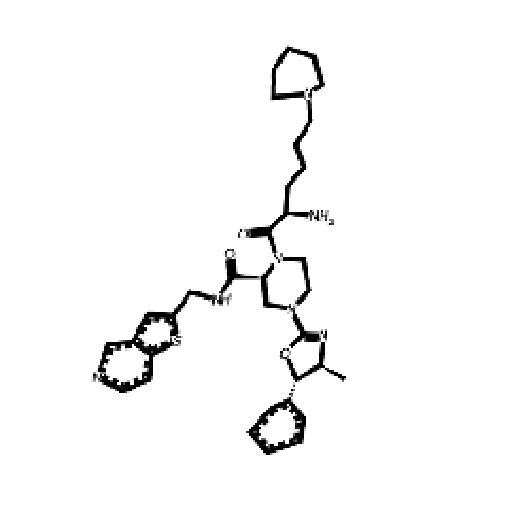 C[C@@H]1N=C(N2CCN(C(=O)[C@H](N)CCCCN3CCCCC3)[C@H](C(=O)NCc3cc4cnccc4s3)C2)O[C@H]1c1ccccc1